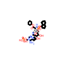 C/N=C\[C@@]1(c2ccc3n2N=CN(COP(=O)(O)O)C3N)O[C@H](COP(=O)(N[C@@H](C)C(=O)OC2CCCCC2)Oc2cccc3ccccc23)[C@@H](O)[C@H]1O